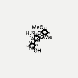 COc1ccccc1Oc1c(N)nc(-c2ccnc(O)c2)nc1OC